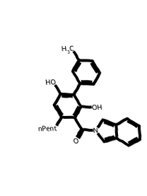 CCCCCc1cc(O)c(-c2cccc(C)c2)c(O)c1C(=O)n1cc2ccccc2c1